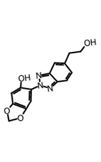 OCCc1ccc2nn(-c3cc4c(cc3O)OCO4)nc2c1